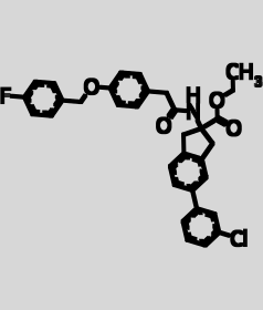 CCOC(=O)C1(NC(=O)Cc2ccc(OCc3ccc(F)cc3)cc2)Cc2ccc(-c3cccc(Cl)c3)cc2C1